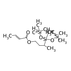 CC=CC(=O)OCCC(C)[Si](C)(O[Si](C)(C)C)O[Si](C)(C)C